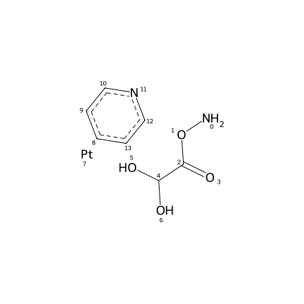 NOC(=O)C(O)O.[Pt].c1ccncc1